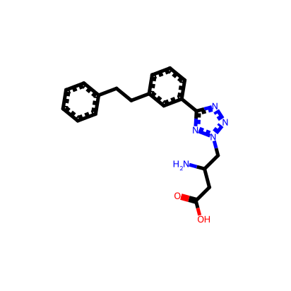 NC(CC(=O)O)Cn1nnc(-c2cccc(CCc3ccccc3)c2)n1